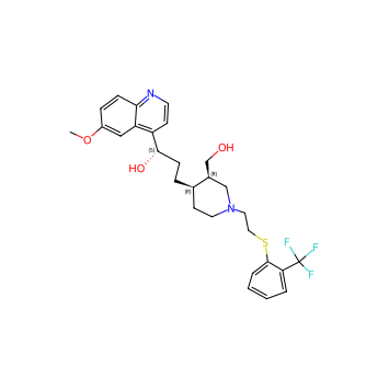 COc1ccc2nccc([C@@H](O)CC[C@@H]3CCN(CCSc4ccccc4C(F)(F)F)C[C@@H]3CO)c2c1